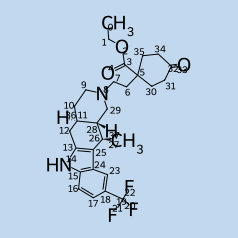 CCOC(=O)C1(CCN2CC[C@@H]3Cc4[nH]c5ccc(C(F)(F)F)cc5c4[C@H](C)[C@H]3C2)CCC(=O)CC1